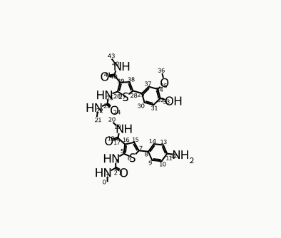 CNC(=O)Nc1sc(-c2ccc(N)cc2)cc1C(=O)NC.CNC(=O)Nc1sc(-c2ccc(O)c(OC)c2)cc1C(=O)NC